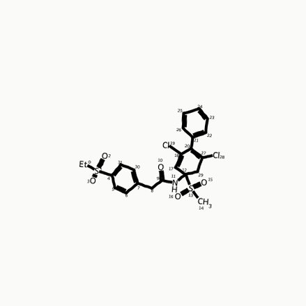 CCS(=O)(=O)c1ccc(CC(=O)NC2(S(C)(=O)=O)C=C(Cl)C(c3ccccc3)=C(Cl)C2)cc1